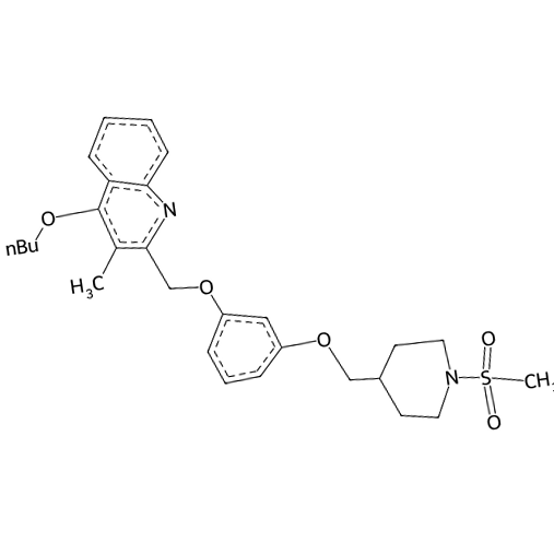 CCCCOc1c(C)c(COc2cccc(OCC3CCN(S(C)(=O)=O)CC3)c2)nc2ccccc12